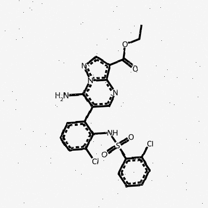 CCOC(=O)c1cnn2c(N)c(-c3cccc(Cl)c3NS(=O)(=O)c3ccccc3Cl)cnc12